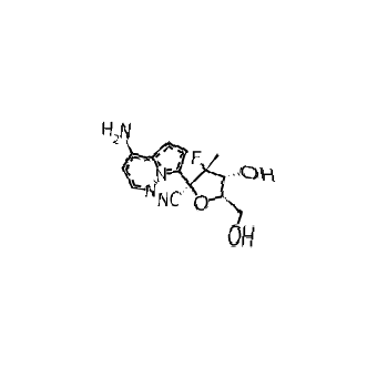 C[C@@]1(F)[C@H](O)[C@@H](CO)O[C@@]1(C#N)c1ccc2c(N)ccnn12